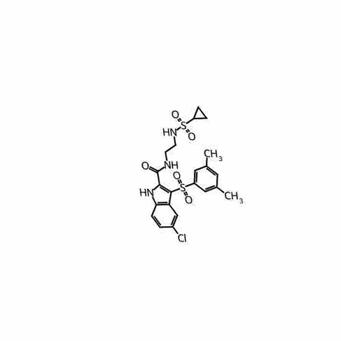 Cc1cc(C)cc(S(=O)(=O)c2c(C(=O)NCCNS(=O)(=O)C3CC3)[nH]c3ccc(Cl)cc23)c1